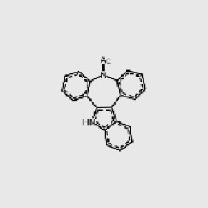 CC(=O)N1c2ccccc2-c2[nH]c3ccccc3c2-c2ccccc21